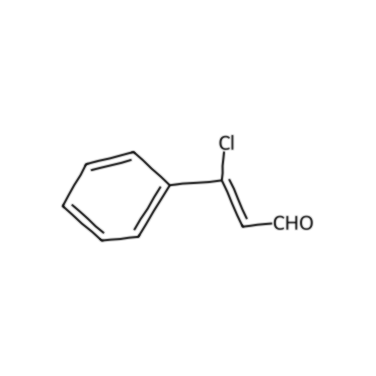 O=CC=C(Cl)c1ccccc1